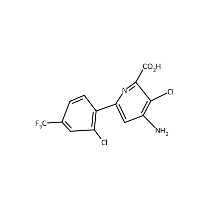 Nc1cc(-c2ccc(C(F)(F)F)cc2Cl)nc(C(=O)O)c1Cl